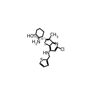 Cc1c([C@H]2CCC[C@H](O)[C@@H]2N)sc2c(NCc3cccs3)cc(Cl)nc12